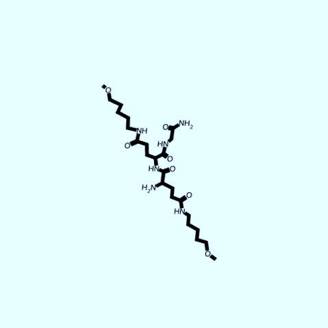 COCCCCCNC(=O)CCC(N)C(=O)NC(CCC(=O)NCCCCCOC)C(=O)NCC(N)=O